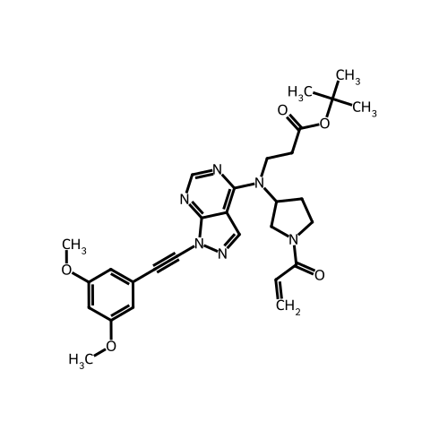 C=CC(=O)N1CCC(N(CCC(=O)OC(C)(C)C)c2ncnc3c2cnn3C#Cc2cc(OC)cc(OC)c2)C1